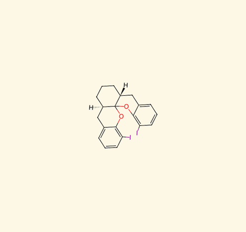 Ic1cccc2c1OC13Oc4c(I)cccc4C[C@H]1CCC[C@@H]3C2